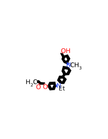 C=CC(=O)COc1ccc(N(CC)c2ccc(-c3ccc(N(C)c4ccc(CO)cc4)cc3)cc2)cc1